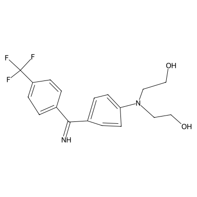 N=C(c1ccc(N(CCO)CCO)cc1)c1ccc(C(F)(F)F)cc1